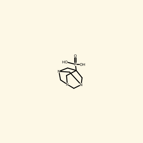 O=P(O)(O)C12CN3CN(CN(C3)C1)C2